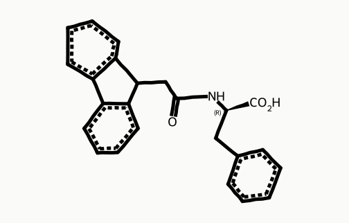 O=C(CC1c2ccccc2-c2ccccc21)N[C@H](Cc1ccccc1)C(=O)O